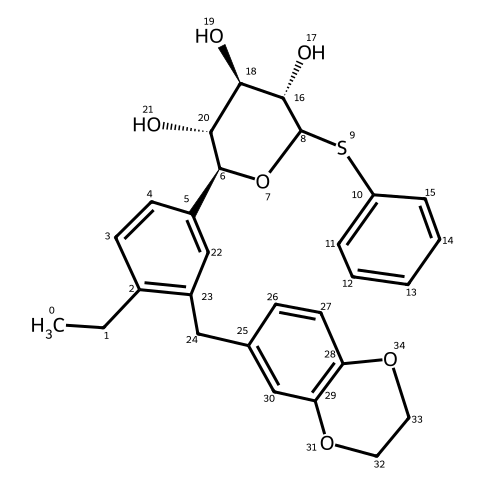 CCc1ccc([C@@H]2OC(Sc3ccccc3)[C@@H](O)[C@H](O)[C@H]2O)cc1Cc1ccc2c(c1)OCCO2